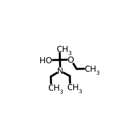 CCOC(C)(O)N(CC)CC